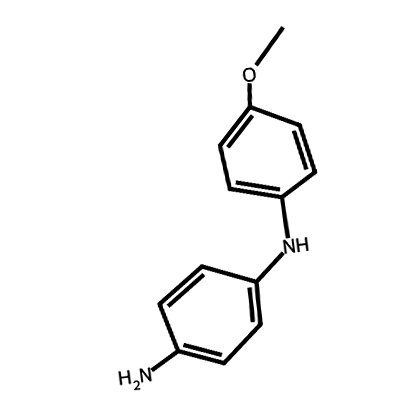 COc1ccc(Nc2ccc(N)cc2)cc1